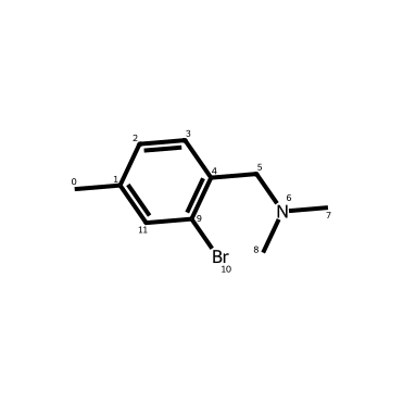 Cc1ccc(CN(C)C)c(Br)c1